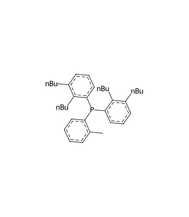 CCCCc1cccc(P(c2ccccc2C)c2cccc(CCCC)c2CCCC)c1CCCC